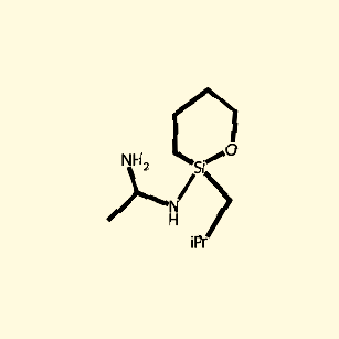 CC(C)C[Si]1(NC(C)N)CCCCO1